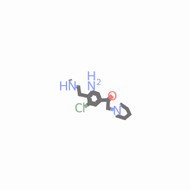 CNCCc1c(N)cc(C(=O)CN2CCCCC2)cc1Cl